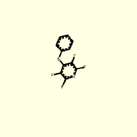 Fc1nc(F)c(F)c(Sc2ccccc2)c1F